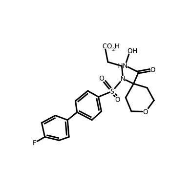 O=C(O)CCN(C1(C(=O)NO)CCOCC1)S(=O)(=O)c1ccc(-c2ccc(F)cc2)cc1